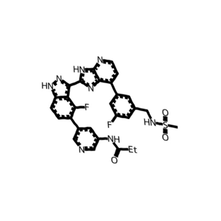 CCC(=O)Nc1cncc(-c2ccc3[nH]nc(-c4nc5c(-c6cc(F)cc(CNS(C)(=O)=O)c6)ccnc5[nH]4)c3c2F)c1